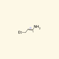 CCC/C=C(\C)N